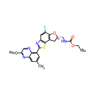 COc1cnc2c(-c3nc4cc(F)c5c(c4s3)C[C@@H](CNC(=O)OCC(C)(C)C)O5)cc(C)cc2n1